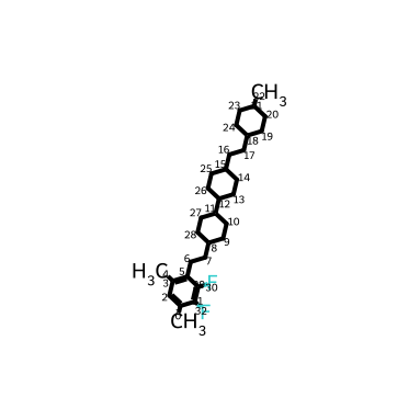 Cc1cc(C)c(CCC2CCC(C3CCC(CCC4CCC(C)CC4)CC3)CC2)c(F)c1F